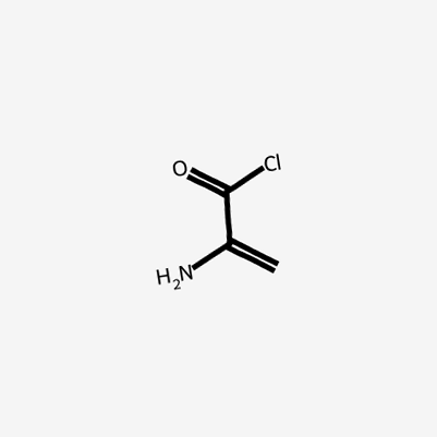 C=C(N)C(=O)Cl